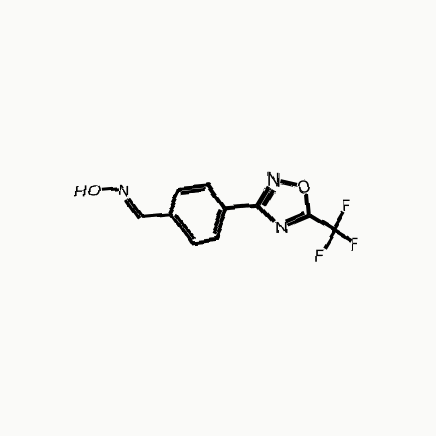 ON=Cc1ccc(-c2noc(C(F)(F)F)n2)cc1